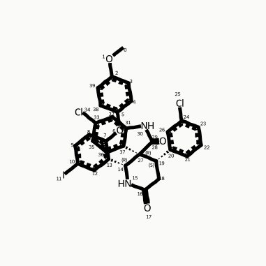 COc1ccc(Oc2ccc(I)cc2[C@H]2NC(=O)C[C@@H](c3cccc(Cl)c3)[C@]23C(=O)Nc2cc(Cl)ccc23)cc1